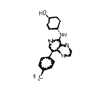 O[C@H]1CC[C@H](Nc2ncc(-c3ccc(C(F)(F)F)cc3)c3nccnc23)CC1